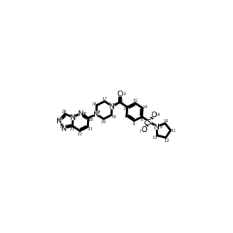 O=C(c1ccc(S(=O)(=O)N2CCCC2)cc1)N1CCN(c2ccc3nncn3n2)CC1